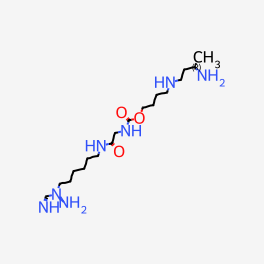 C[C@@H](N)CCNCCCCOC(=O)NCC(=O)NCCCCCCN(N)C=N